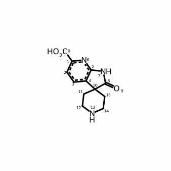 O=C(O)c1ccc2c(n1)NC(=O)C21CCNCC1